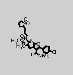 CNC(=O)c1c(-c2ccc(Cl)cc2)oc2nc(N(CCCC3CCCS3(=O)=O)S(C)(=O)=O)c(C)cc12